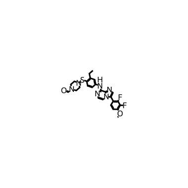 CCc1cc(Nc2nccn3c(-c4ccc(OC)c(F)c4F)cnc23)ccc1SN1CCN(C=O)CC1